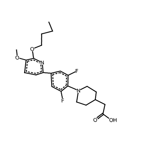 CCCCOc1nc(-c2cc(F)c(N3CCC(CC(=O)O)CC3)c(F)c2)ccc1OC